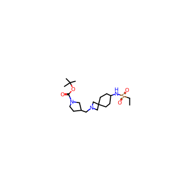 CCS(=O)(=O)NC1CCC2(CC1)CN(CC1CCN(C(=O)OC(C)(C)C)C1)C2